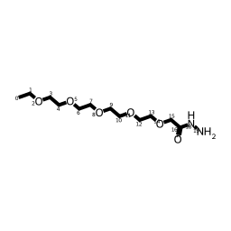 CCOCCOCCOCCOCCOCC(=O)NN